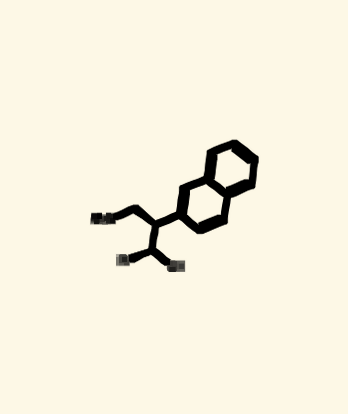 CNC[C@@H](c1ccc2ccccc2c1)[C@@H](O)C(C)C